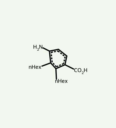 CCCCCCc1c(N)ccc(C(=O)O)c1CCCCCC